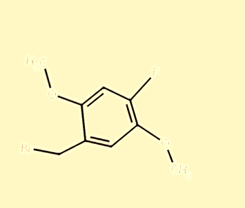 COc1cc(CBr)c(OC)cc1F